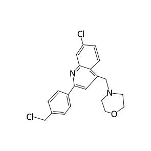 ClCc1ccc(-c2cc(CN3CCOCC3)c3ccc(Cl)cc3n2)cc1